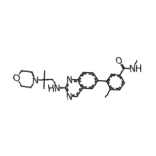 CNC(=O)c1ccc(C)c(-c2ccc3nc(NCC(C)(C)N4CCOCC4)ncc3c2)c1